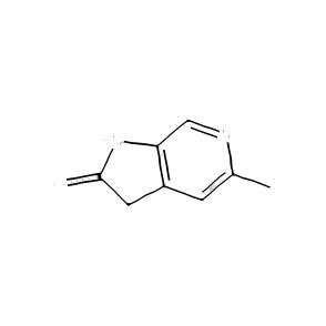 Cc1cc2c(cn1)NC(=O)C2